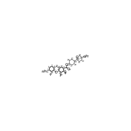 CCCc1ccc2c(c1F)Oc1c(cc(C(=O)OC3CCC(C4CCC(CCC)CO4)CC3)c(F)c1F)C2